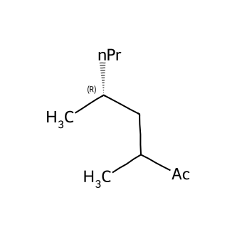 CCC[C@@H](C)CC(C)C(C)=O